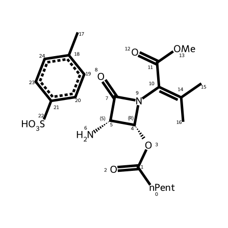 CCCCCC(=O)O[C@@H]1[C@H](N)C(=O)N1C(C(=O)OC)=C(C)C.Cc1ccc(S(=O)(=O)O)cc1